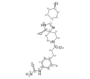 CC[C@H]1CC[C@H](C2=NC3(CCN([S+]([O-])CCc4ccc(NC(N)=O)cc4C)CC3)C(=O)N2)CC1